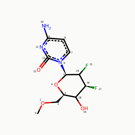 COC[C@H]1O[C@@H](n2ccc(N)nc2=O)C(F)[C@@H](F)C1O